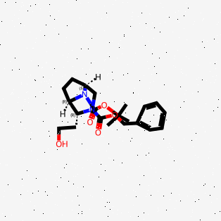 CC(C)(C)OC(=O)N1[C@H]2CC[C@@H]1[C@@H](CCO)N(C(=O)OCc1ccccc1)C2